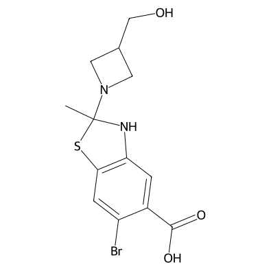 CC1(N2CC(CO)C2)Nc2cc(C(=O)O)c(Br)cc2S1